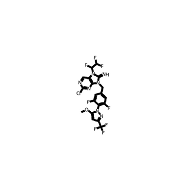 COc1cc(C(F)(F)F)nn1-c1c(F)cc(Cn2c(=N)n(C(F)C(F)F)c3cnc(Cl)nc32)cc1F